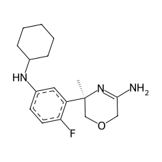 C[C@@]1(c2cc(NC3CCCCC3)ccc2F)COCC(N)=N1